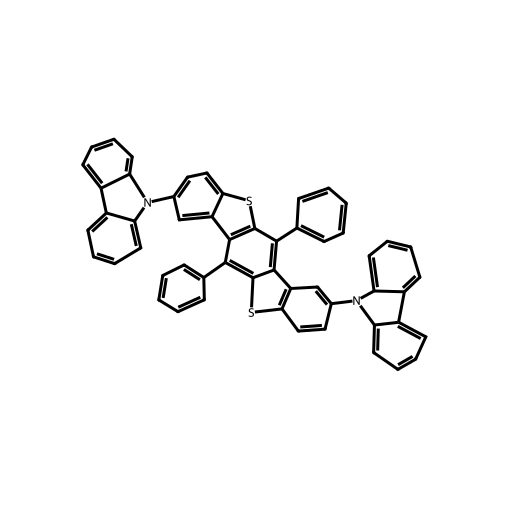 c1ccc(-c2c3sc4ccc(-n5c6ccccc6c6ccccc65)cc4c3c(-c3ccccc3)c3sc4ccc(-n5c6ccccc6c6ccccc65)cc4c23)cc1